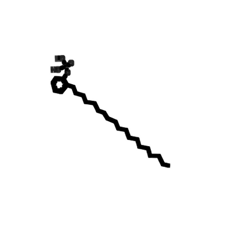 CCCCCCCCCCCCCCCCCCCc1ccccc1OP(=O)(O)O